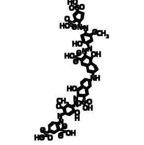 COc1cc(N=Nc2c(S(=O)(=O)O)cc3cc(Nc4ccc5c(O)c(N=Nc6cc(OC)c(N=Nc7ccc(S(=O)(=O)O)cc7S(=O)(=O)O)cc6O)c(S(=O)(=O)O)cc5c4)ccc3c2O)c(O)cc1N=Nc1ccc(S(=O)(=O)O)cc1S(=O)(=O)O